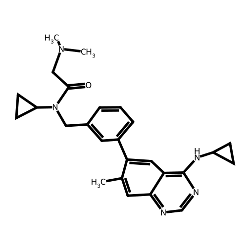 Cc1cc2ncnc(NC3CC3)c2cc1-c1cccc(CN(C(=O)CN(C)C)C2CC2)c1